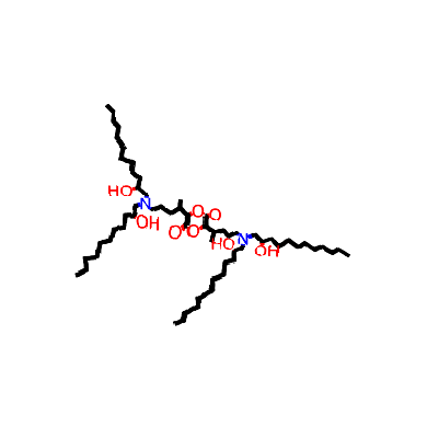 CCCCCCCCCCC(O)CN(CCCC(C)C1OC(=O)C(C(C)CCCN(CC(O)CCCCCCCCCC)CC(O)CCCCCCCCCC)OC1=O)CC(O)CCCCCCCCC